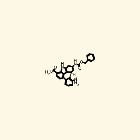 Cc1c(N)cccc1-c1ccc(C(N)=O)c2[nH]c3c(c12)CCC(NC(=O)OCc1ccccc1)C3